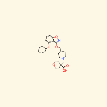 O=C(O)C1(CN2CCC(COc3noc4cccc(OC5CCCCC5)c34)CC2)CCOCC1